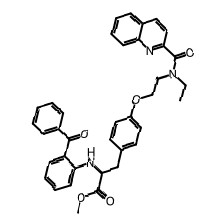 CCN(CCOc1ccc(CC(Nc2ccccc2C(=O)c2ccccc2)C(=O)OC)cc1)C(=O)c1ccc2ccccc2n1